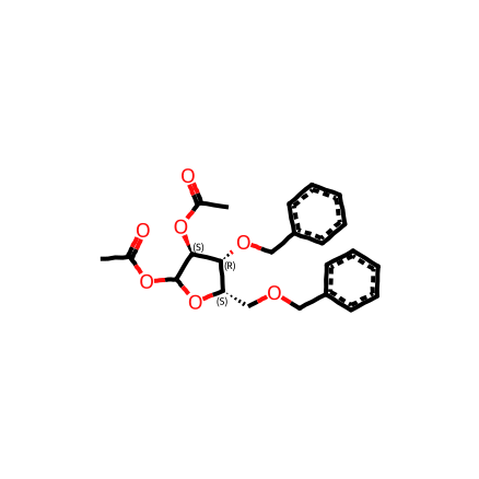 CC(=O)OC1O[C@@H](COCc2ccccc2)[C@@H](OCc2ccccc2)[C@@H]1OC(C)=O